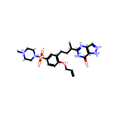 C=CCOc1ccc(S(=O)(=O)N2CCN(C)CC2)cc1CCC(C)c1nc2cn[nH]c2c(=O)[nH]1